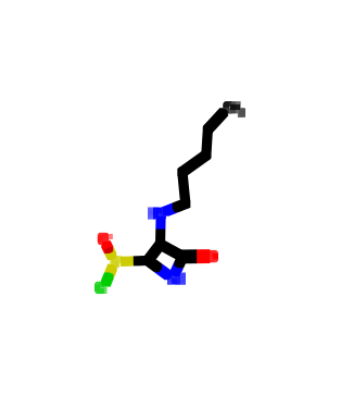 CCCCCNC1C(=O)NC1[S+]([O-])Cl